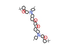 Cc1ccc(N(c2ccc3c(ccc4c5cc6c(cc5oc34)oc3c4ccc(N(c5ccc(C)cc5)c5ccc7oc8c(C(C)(C)C)cccc8c7c5)cc4ccc63)c2)c2ccc3oc4c(C(C)(C)C)cccc4c3c2)cc1